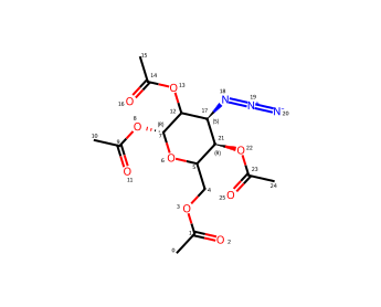 CC(=O)OCC1O[C@H](OC(C)=O)C(OC(C)=O)[C@@H](N=[N+]=[N-])[C@H]1OC(C)=O